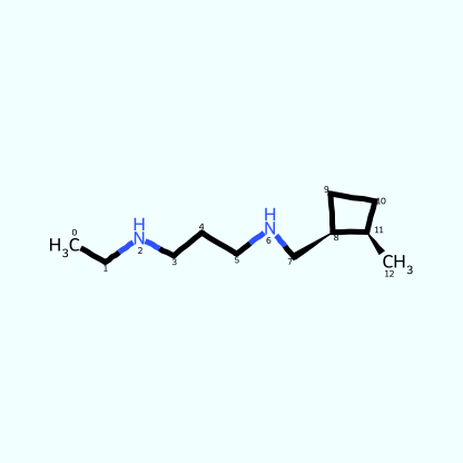 CCNCCCNC[C@H]1CC[C@H]1C